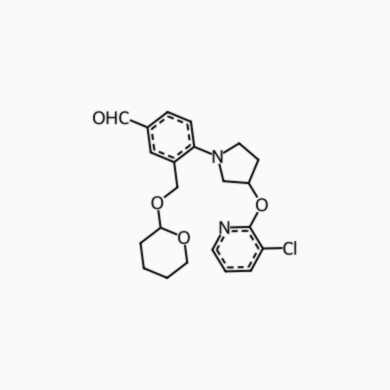 O=Cc1ccc(N2CCC(Oc3ncccc3Cl)C2)c(COC2CCCCO2)c1